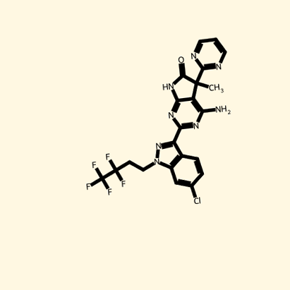 CC1(c2ncccn2)C(=O)Nc2nc(-c3nn(CCC(F)(F)C(F)(F)F)c4cc(Cl)ccc34)nc(N)c21